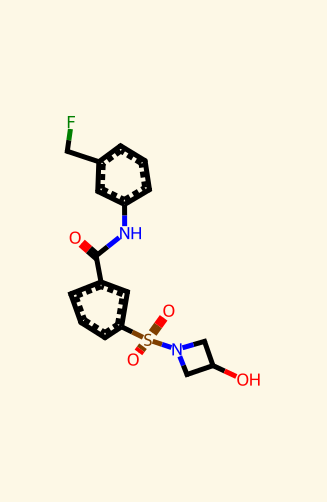 O=C(Nc1cccc(CF)c1)c1cccc(S(=O)(=O)N2CC(O)C2)c1